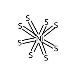 [S]=[Ni](=[S])(=[S])(=[S])(=[S])(=[S])(=[S])=[S]